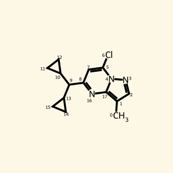 Cc1cnn2c(Cl)cc(C(C3CC3)C3CC3)nc12